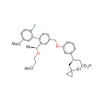 CCC1(C[C@H](CC(=O)O)c2cccc(OCc3ccc(-c4cc(OC)ccc4F)c([C@@H](OCCOC)C(C)(C)C)c3)c2)CC1